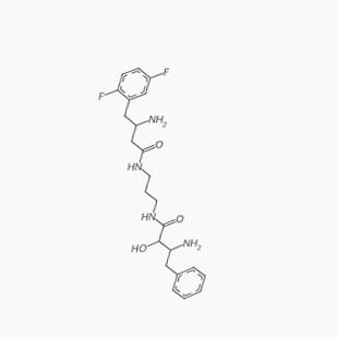 NC(CC(=O)NCCCNC(=O)C(O)C(N)Cc1ccccc1)Cc1cc(F)ccc1F